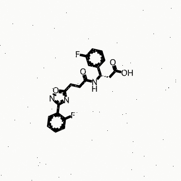 O=C(O)C[C@H](NC(=O)CCc1nc(-c2ccccc2F)no1)c1cccc(F)c1